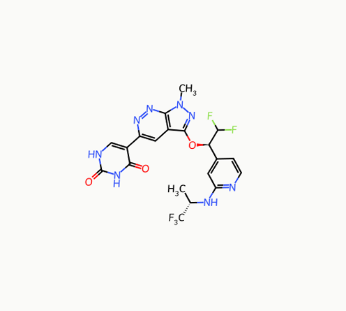 C[C@H](Nc1cc([C@@H](Oc2nn(C)c3nnc(-c4c[nH]c(=O)[nH]c4=O)cc23)C(F)F)ccn1)C(F)(F)F